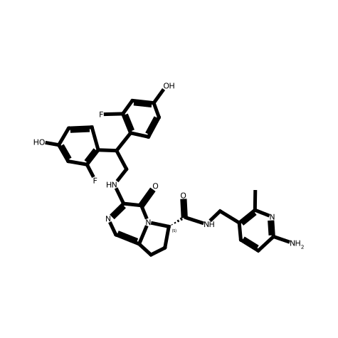 Cc1nc(N)ccc1CNC(=O)[C@@H]1CCc2cnc(NCC(c3ccc(O)cc3F)c3ccc(O)cc3F)c(=O)n21